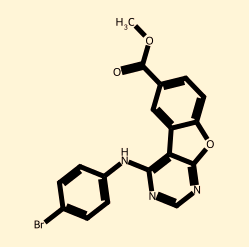 COC(=O)c1ccc2oc3ncnc(Nc4ccc(Br)cc4)c3c2c1